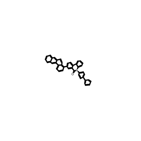 O=c1c2cc(-c3cccc4c3ccc3cc5ccccc5cc34)ccc2c2ccccc2n1-c1ccc(-c2ccccc2)cc1